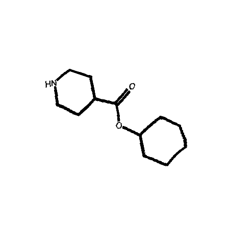 O=C(OC1CCCCC1)C1CCNCC1